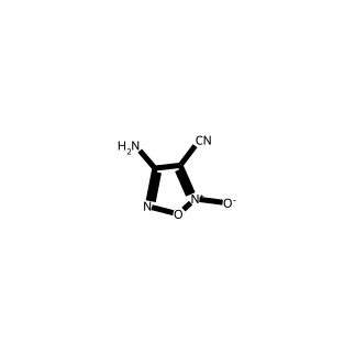 N#Cc1c(N)no[n+]1[O-]